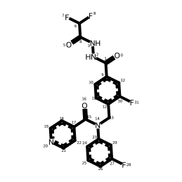 O=C(NNC(=O)C(F)F)c1ccc(CN(C(=O)c2ccncc2)c2cccc(F)c2)c(F)c1